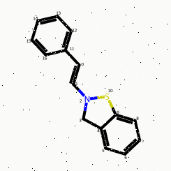 C(=CN1Cc2ccccc2S1)c1ccccc1